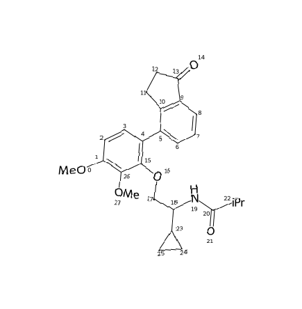 COc1ccc(-c2cccc3c2CCC3=O)c(OCC(NC(=O)C(C)C)C2CC2)c1OC